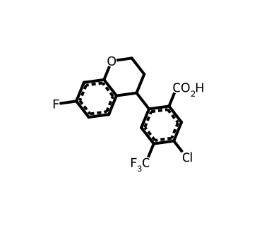 O=C(O)c1cc(Cl)c(C(F)(F)F)cc1C1CCOc2cc(F)ccc21